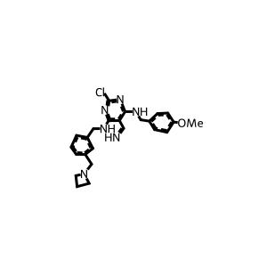 COc1ccc(CNc2nc(Cl)nc(NCc3cccc(CN4CCC4)c3)c2C=N)cc1